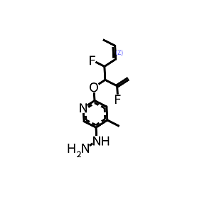 C=C(F)C(Oc1cc(C)c(NN)cn1)C(F)/C=C\C